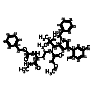 CNC(=O)[C@H](CCN(C(=O)COC)[C@@H](c1cc(-c2cc(F)ccc2F)cn1Cc1ccccc1)C(C)(C)C)NC(=O)OCc1ccccc1